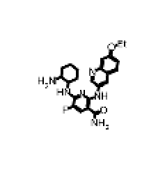 CCOc1ccc2cc(Nc3nc(NC4CCCCC4N)c(F)cc3C(N)=O)cnc2c1